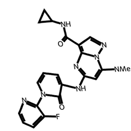 CNc1cc(Nc2cccn(-c3ncccc3F)c2=O)nc2c(C(=O)NC3CC3)cnn12